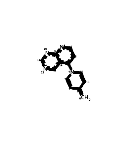 C=C1C=CN(c2ccnc3ncncc23)C=C1